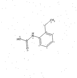 CCc1ccccc1NC(=O)O